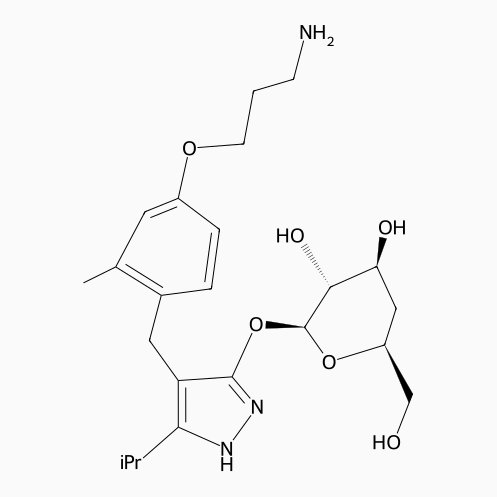 Cc1cc(OCCCN)ccc1Cc1c(O[C@@H]2O[C@H](CO)C[C@H](O)[C@H]2O)n[nH]c1C(C)C